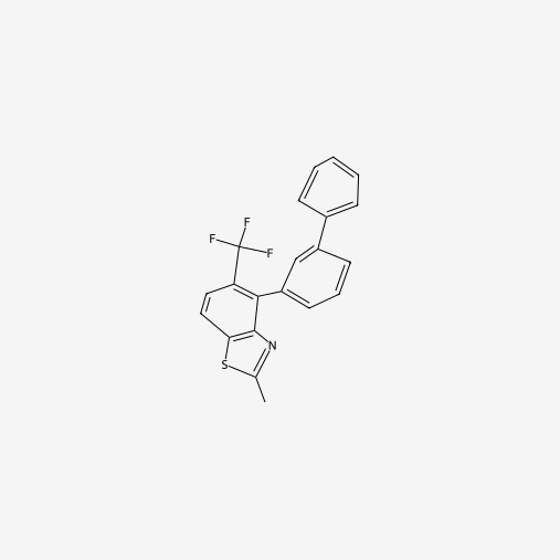 Cc1nc2c(-c3cccc(-c4ccccc4)c3)c(C(F)(F)F)ccc2s1